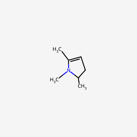 C[C]1CC=C(C)N1C